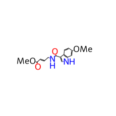 COC(=O)/C=C/CNC(=O)c1c[nH]c2cc(OC)ccc12